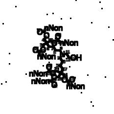 CCCCCCCCCC(=O)OCC(CCCCN(CCO)CCCCC(COC(=O)CCCCCCCCC)(COC(=O)CCCCCCCCC)COC(=O)CCCCCCCCC)(COC(=O)CCCCCCCCC)COC(=O)CCCCCCCCC